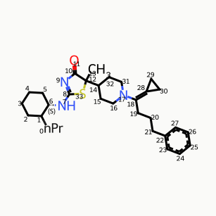 CCCC1CCCC[C@@H]1NC1=NC(=O)C(C)(C2CCN(C(CCCc3ccccc3)=C3CC3)CC2)S1